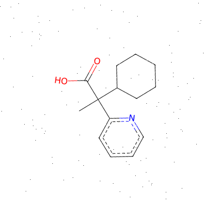 CC(C(=O)O)(c1ccccn1)C1CCCCC1